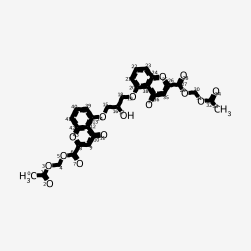 CC(=O)OCOC(=O)c1cc(=O)c2c(OCC(O)COc3cccc4oc(C(=O)OCOC(C)=O)cc(=O)c34)cccc2o1